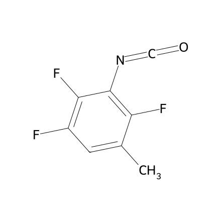 Cc1cc(F)c(F)c(N=C=O)c1F